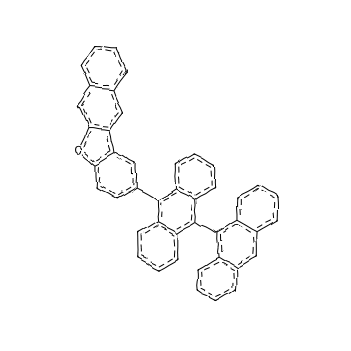 c1ccc2cc3c(cc2c1)oc1ccc(-c2c4ccccc4c(-c4c5ccccc5cc5ccccc45)c4ccccc24)cc13